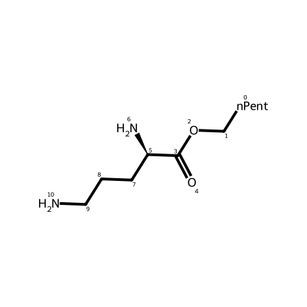 CCCCCCOC(=O)[C@H](N)CCCN